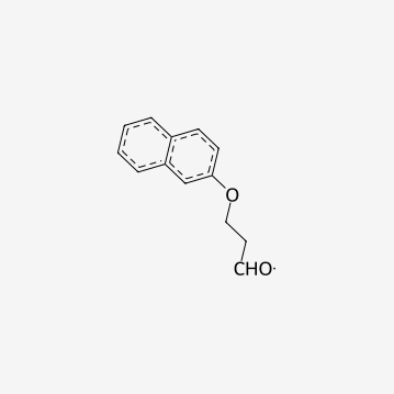 O=[C]CCOc1ccc2ccccc2c1